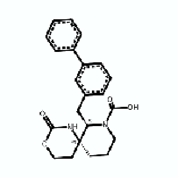 O=C1N[C@]2(CCCN(C(=O)O)[C@@H]2Cc2cccc(-c3ccccc3)c2)CCO1